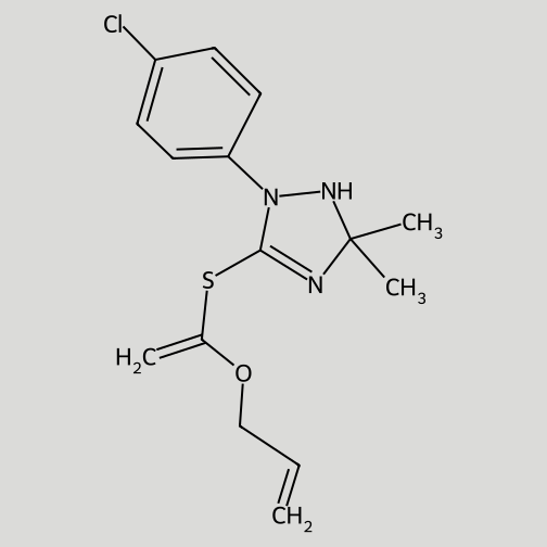 C=CCOC(=C)SC1=NC(C)(C)NN1c1ccc(Cl)cc1